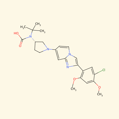 COc1cc(OC)c(-c2cn3ccc(N4CC[C@H](N(C(=O)O)C(C)(C)C)C4)cc3n2)cc1Cl